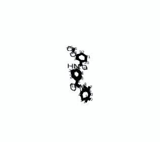 CC1(C)CC2CC(C)(CN2C(=O)c2ccc(NC(=O)C3CCCC(OC=O)C3)cc2)C1